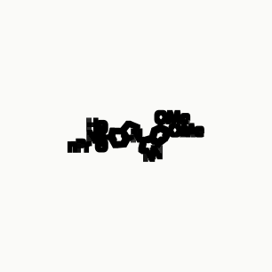 CCCNS(=O)(=O)c1ccc2c(c1)CCN2c1cnnc2cc(OC)c(OC)cc12